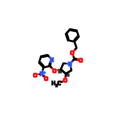 CO[C@@H]1CN(C(=O)OCc2ccccc2)C[C@H]1Oc1ncccc1[N+](=O)[O-]